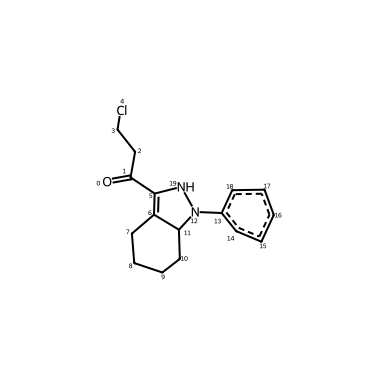 O=C(CCCl)C1=C2CCCCC2N(c2ccccc2)N1